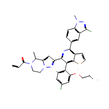 C=CC(=O)N1CCn2nc(-c3nc(-c4ccc5c(c4)c(F)nn5C)c4ccsc4c3-c3c(F)cc(F)cc3OCCOC)cc2C1C